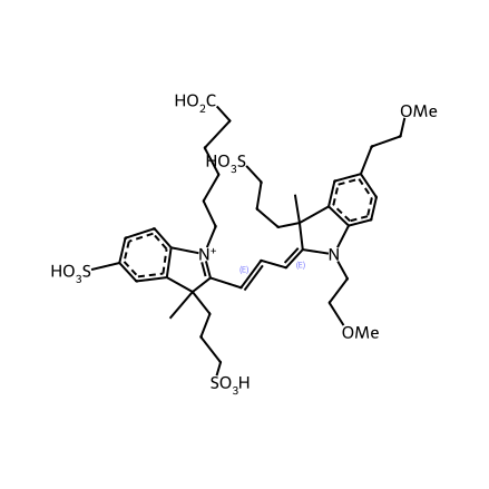 COCCc1ccc2c(c1)C(C)(CCCS(=O)(=O)O)/C(=C\C=C\C1=[N+](CCCCCC(=O)O)c3ccc(S(=O)(=O)O)cc3C1(C)CCCS(=O)(=O)O)N2CCOC